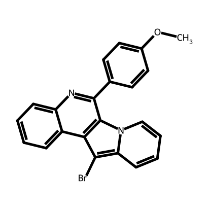 COc1ccc(-c2nc3ccccc3c3c(Br)c4ccccn4c23)cc1